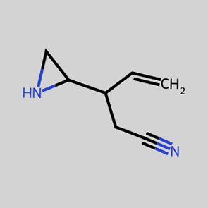 C=CC(CC#N)C1CN1